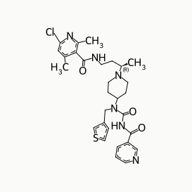 Cc1cc(Cl)nc(C)c1C(=O)NCC[C@@H](C)N1CCC(N(Cc2ccsc2)C(=O)NC(=O)c2cccnc2)CC1